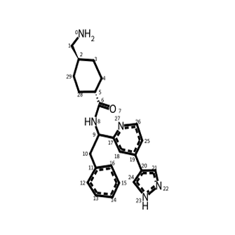 NC[C@H]1CC[C@H](C(=O)NC(Cc2ccccc2)c2cc(-c3cn[nH]c3)ccn2)CC1